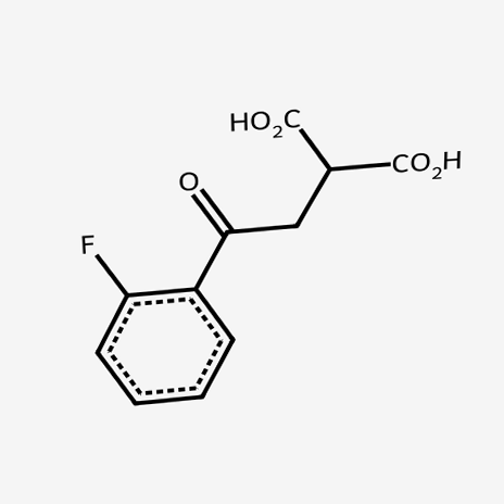 O=C(CC(C(=O)O)C(=O)O)c1ccccc1F